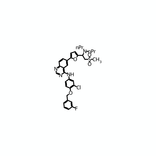 CCCN(CCC)C(CS(C)(=O)=O)c1ccc(-c2ccc3ncnc(Nc4ccc(OCc5cccc(F)c5)c(Cl)c4)c3c2)o1